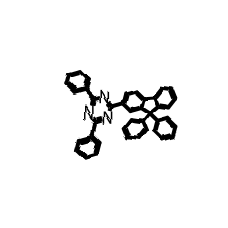 c1ccc(-c2nc(-c3ccccc3)nc(-c3ccc4c(c3)C(c3ccccc3)(c3ccccc3)c3ccccc3-4)n2)cc1